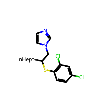 CCCCCCCC(Cn1ccnc1)Sc1ccc(Cl)cc1Cl